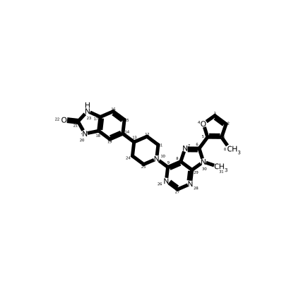 Cc1ccoc1-c1nc2c(N3CCC(c4ccc5c(c4)[N]C(=O)N5)CC3)ncnc2n1C